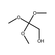 COC(CO)(OC)OC